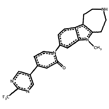 Cn1c2c(c3ccc(-n4ccc(-c5cnc(C(F)(F)F)nc5)cc4=O)cc31)CCNCC2